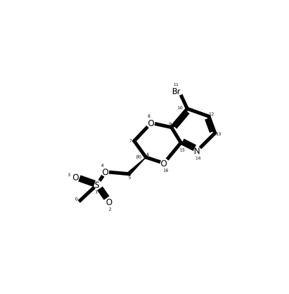 CS(=O)(=O)OC[C@H]1COc2c(Br)ccnc2O1